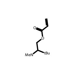 C=CC(=O)OCC(NC)C(C)(C)C